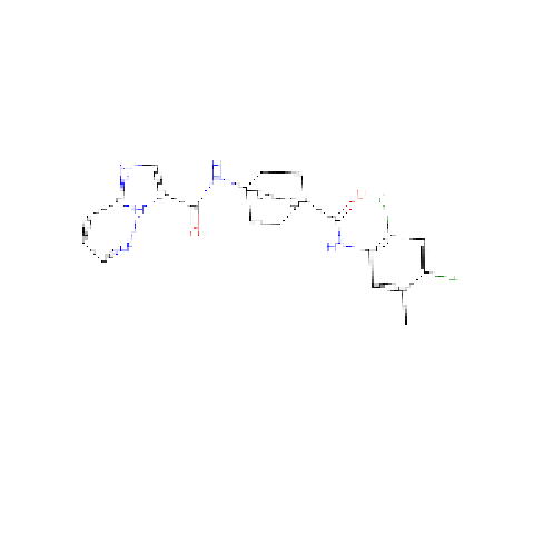 Cc1cc(NC(=O)C23CCC(NC(=O)c4cnc5cccnn45)(CC2)CC3)c(Cl)cc1F